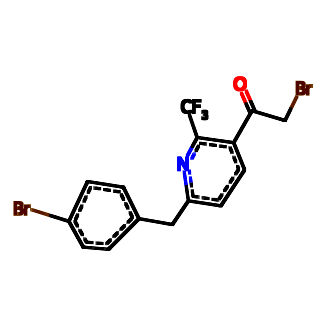 O=C(CBr)c1ccc(Cc2ccc(Br)cc2)nc1C(F)(F)F